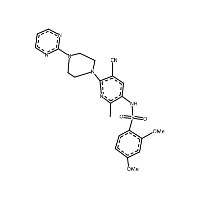 COc1ccc(S(=O)(=O)Nc2cc(C#N)c(N3CCN(c4ncccn4)CC3)nc2C)c(OC)c1